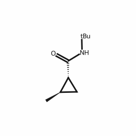 C[C@@H]1C[C@H]1C(=O)NC(C)(C)C